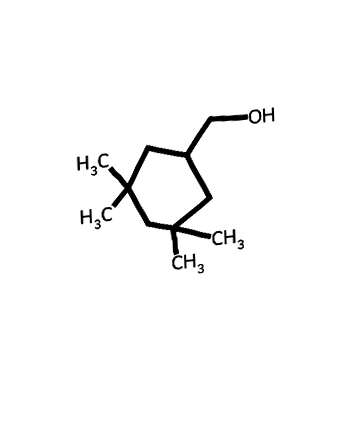 CC1(C)CC(CO)CC(C)(C)C1